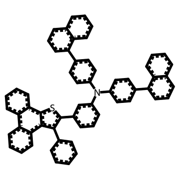 c1ccc(-c2c(-c3cccc(N(c4ccc(-c5cccc6ccccc56)cc4)c4ccc(-c5cccc6ccccc56)cc4)c3)sc3c4ccccc4c4ccccc4c23)cc1